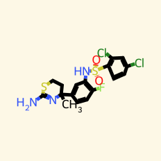 CC1(c2ccc(F)c(NS(=O)(=O)c3ccc(Cl)cc3Cl)c2)CCSC(N)=N1